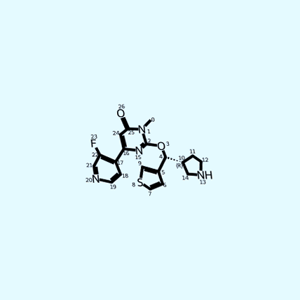 Cn1c(OC(c2ccsc2)[C@@H]2CCNC2)nc(-c2ccncc2F)cc1=O